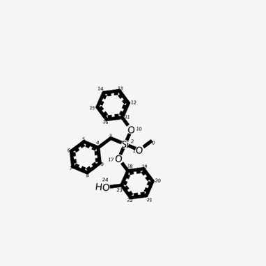 CO[Si](Cc1ccccc1)(Oc1ccccc1)Oc1ccccc1O